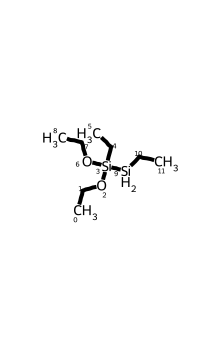 CCO[Si](CC)(OCC)[SiH2]CC